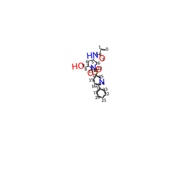 C=CC(=O)NC1CC(CO)N(S(=O)(=O)c2ccc(-c3ccccc3)nc2)C1